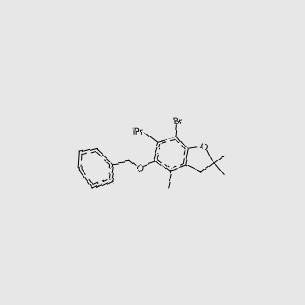 Cc1c2c(c(Br)c(C(C)C)c1OCc1ccccc1)OC(C)(C)C2